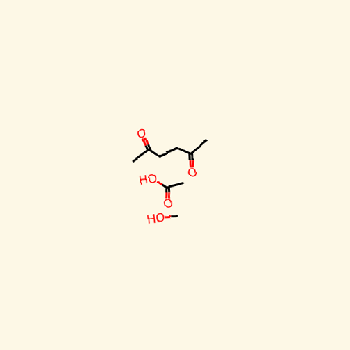 CC(=O)CCC(C)=O.CC(=O)O.CO